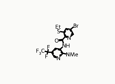 CCSc1cc(Br)cnc1C(=O)Nc1cc(C(F)(F)C(F)(F)F)cnc1NC